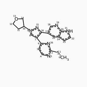 CSc1nccc(-c2cn(C3CCOC3)nc2-c2cnc3[nH]ccc3c2)n1